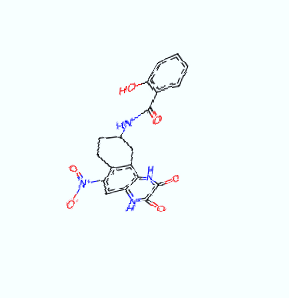 O=C(NC1CCc2c([N+](=O)[O-])cc3[nH]c(=O)c(=O)[nH]c3c2C1)c1ccccc1O